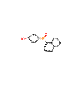 O=[PH](c1ccc(O)cc1)c1cccc2ccccc12